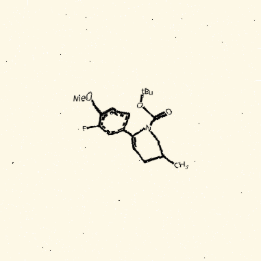 COc1ccc(C2=CCC(C)CN2C(=O)OC(C)(C)C)cc1F